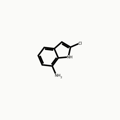 Nc1cccc2cc(Cl)[nH]c12